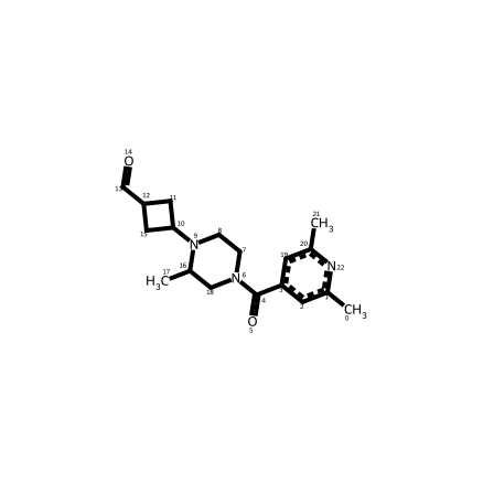 Cc1cc(C(=O)N2CCN(C3CC(C=O)C3)C(C)C2)cc(C)n1